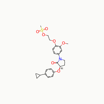 COc1cc(N2CC[C@@H](Oc3ccc(C4CC4)cc3)C2=O)ccc1OCCOS(C)(=O)=O